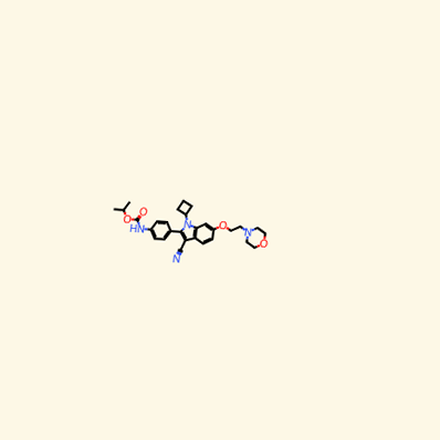 CC(C)OC(=O)Nc1ccc(-c2c(C#N)c3ccc(OCCN4CCOCC4)cc3n2C2CCC2)cc1